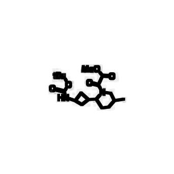 COC(=O)C(=O)N1CC(C)CCC1C1CC(NC(=O)OC(C)(C)C)C1